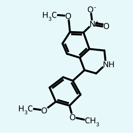 COc1ccc(C2CNCc3c2ccc(OC)c3[N+](=O)[O-])cc1OC